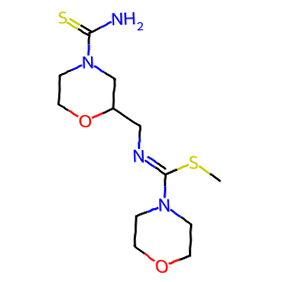 CS/C(=N\CC1CN(C(N)=S)CCO1)N1CCOCC1